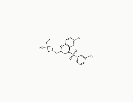 N#CC1(CI)CC(CC2CN(S(=O)(=O)c3cccc(C(F)(F)F)c3)c3cc(Br)ccc3O2)C1